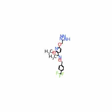 COc1nc(OCc2nnn[nH]2)ccc1C(C)=NOCc1ccc(C(F)(F)F)cc1